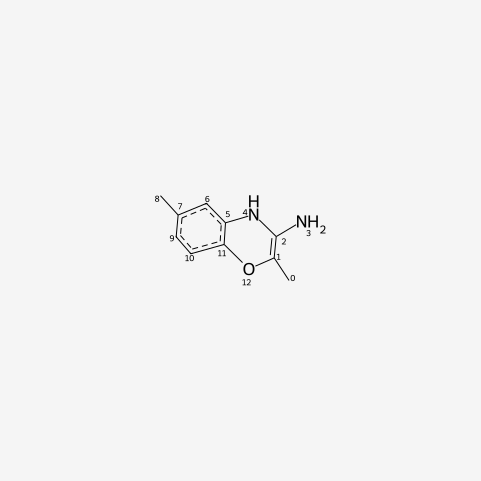 CC1=C(N)Nc2cc(C)ccc2O1